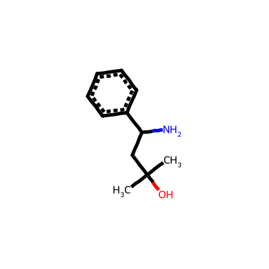 CC(C)(O)CC(N)c1ccccc1